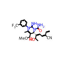 C=C/C(C#N)=C\C=C(/C(C)O)[C@@H]1C(C(=O)OC)=C(C)N(c2cccc(C(F)(F)F)c2)C(=N)N1C(N)=O